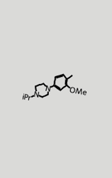 COc1cc(N2CCN(C(C)C)CC2)ccc1C